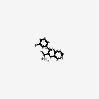 CC(N)c1cc2cnccc2nc1-c1cccc(F)c1